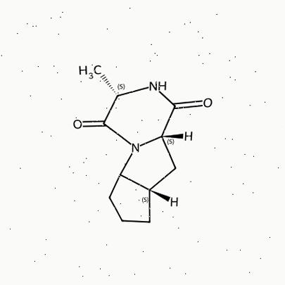 C[C@@H]1NC(=O)[C@@H]2C[C@@H]3CCCC3N2C1=O